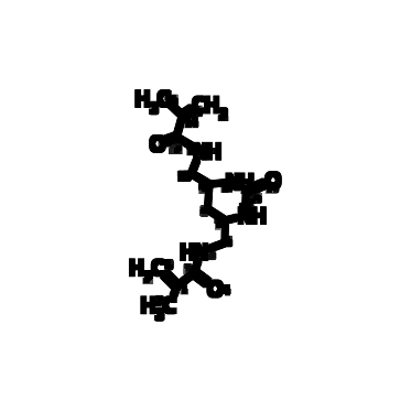 C=C(C)C(=O)NCC1CC(CNC(=O)C(=C)C)NC(=O)N1